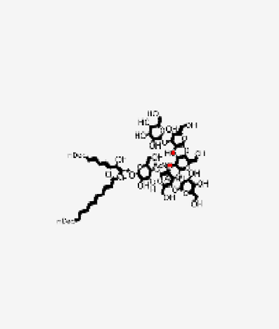 CCCCCCCCCCCCC/C=C/[C@@H](O)[C@H](CO[C@@H]1OC(CO)[C@@H](O[C@@H]2OC(CO)[C@H](O[C@@H]3OC(CO)[C@H](O)[C@H](O)C3NC(C)=O)[C@H](O[C@@H]3OC(CO)[C@@H](O[C@@H]4OC(CO)[C@H](O)[C@H](O[C@H]5OC(CO)[C@H](O)[C@H](O)C5O)C4O)[C@H](O)C3NC(C)=O)C2O)[C@H](O)C1O)NC(=O)CCCCCCCCCCCCCCCCCCC